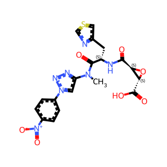 CN(C(=O)[C@H](Cc1cscn1)NC(=O)[C@H]1O[C@@H]1C(=O)O)c1cn(-c2ccc([N+](=O)[O-])cc2)nn1